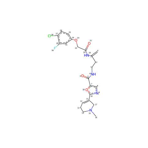 C=C(CCNC(=O)c1cnc(C2=CCCN(C)C2)o1)NC(=O)COc1ccc(Cl)c(F)c1